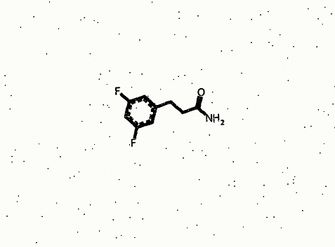 NC(=O)CCc1cc(F)cc(F)c1